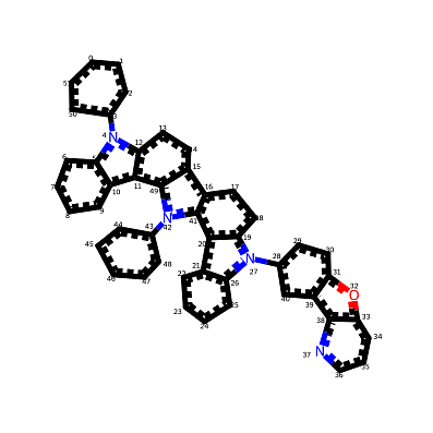 c1ccc(-n2c3ccccc3c3c2ccc2c4ccc5c(c6ccccc6n5-c5ccc6oc7cccnc7c6c5)c4n(-c4ccccc4)c23)cc1